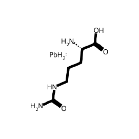 NC(=O)NCCC[C@H](N)C(=O)O.[PbH2]